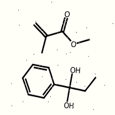 C=C(C)C(=O)OC.CCC(O)(O)c1ccccc1